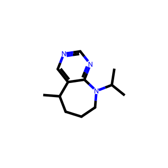 CC1CCCN(C(C)C)c2ncncc21